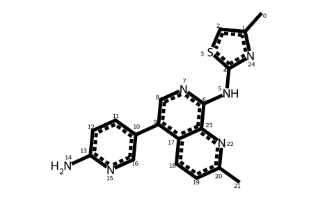 Cc1csc(Nc2ncc(-c3ccc(N)nc3)c3ccc(C)nc23)n1